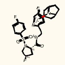 O=C(NCc1cc(N2C3CCC2CC(C(F)(F)F)C3)c(F)cn1)[C@@H]1C[C@@H](F)CN1S(=O)(=O)c1ccc(F)cc1